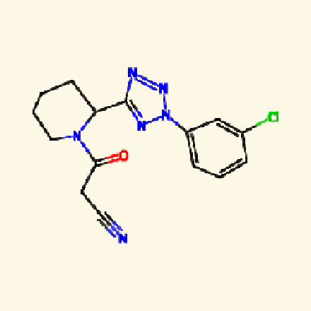 N#CCC(=O)N1CCCCC1c1nnn(-c2cccc(Cl)c2)n1